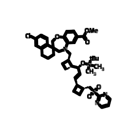 COC(=O)c1ccc2c(c1)N(C[C@@H]1CC[C@H]1[C@H](/C=C/[C@@H]1CC[C@H]1CS(=O)(=O)c1ncccn1)O[Si](C)(C)C(C)(C)C)CC1(CCCc3cc(Cl)ccc31)CO2